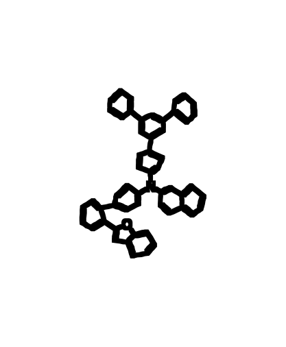 c1ccc(-c2cc(-c3ccccc3)cc(-c3ccc(N(c4ccc(-c5ccccc5-c5cc6ccccc6o5)cc4)c4ccc5ccccc5c4)cc3)c2)cc1